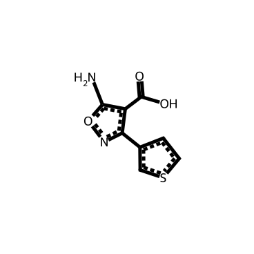 Nc1onc(-c2ccsc2)c1C(=O)O